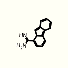 N=C(N)C1=CC=CC2=c3ccccc3=CC12